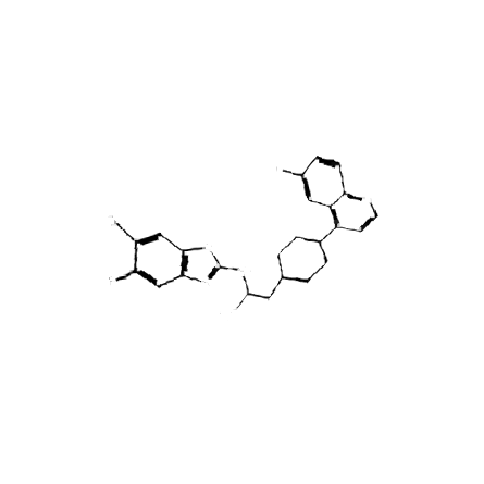 CC(CC1CCC(c2ccnc3ccc(F)cc23)CC1)Nc1nc2cc(F)c(Cl)cc2o1